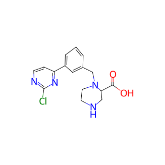 O=C(O)C1CNCCN1Cc1cccc(-c2ccnc(Cl)n2)c1